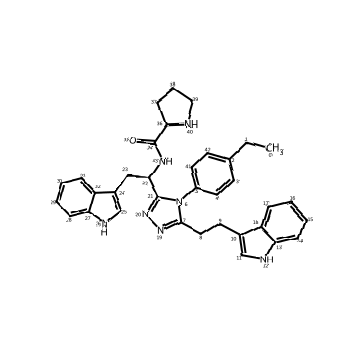 CCc1ccc(-n2c(CCc3c[nH]c4ccccc34)nnc2[C@@H](Cc2c[nH]c3ccccc23)NC(=O)C2CCCN2)cc1